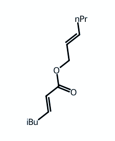 CCC/C=C/COC(=O)/C=C/C(C)CC